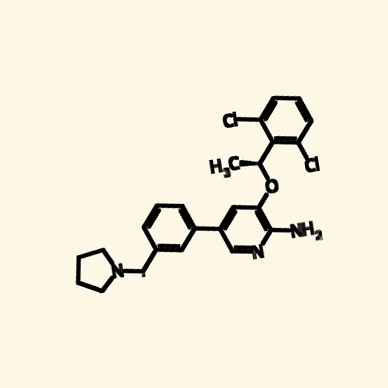 C[C@H](Oc1cc(-c2cccc([CH]N3CCCC3)c2)cnc1N)c1c(Cl)cccc1Cl